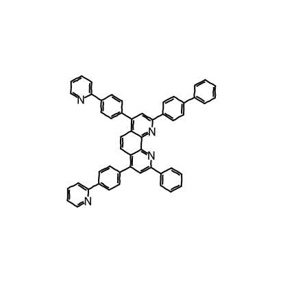 c1ccc(-c2ccc(-c3cc(-c4ccc(-c5ccccn5)cc4)c4ccc5c(-c6ccc(-c7ccccn7)cc6)cc(-c6ccccc6)nc5c4n3)cc2)cc1